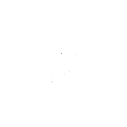 CC(C)[C@H](NC(=O)[C@H](CC(=O)O)NC(=O)c1cccc(CNC(=N)N)c1)C(=O)O